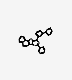 c1ccc(-c2cccc(-c3nc(-c4ccccc4)nc4c3oc3c5ccccc5ccc43)c2)cc1